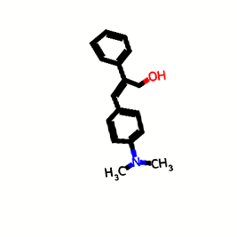 CN(C)c1ccc(C=C(CO)c2ccccc2)cc1